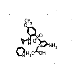 CC(O)Cn1cc(N)cc1S(=O)(=O)c1ccc(OC(F)(F)F)cc1NC1CC1.c1ccncc1